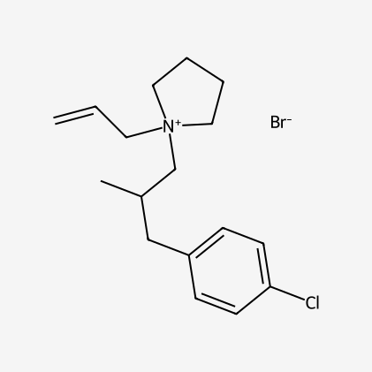 C=CC[N+]1(CC(C)Cc2ccc(Cl)cc2)CCCC1.[Br-]